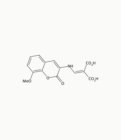 COc1cccc2cc(NC=C(C(=O)O)C(=O)O)c(=O)oc12